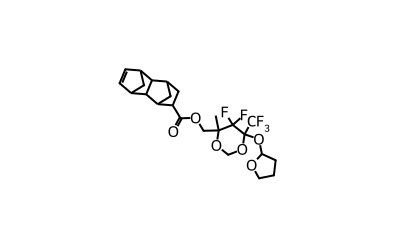 CC1(COC(=O)C2CC3CC2C2C4C=CC(C4)C32)OCOC(OC2CCCO2)(C(F)(F)F)C1(F)F